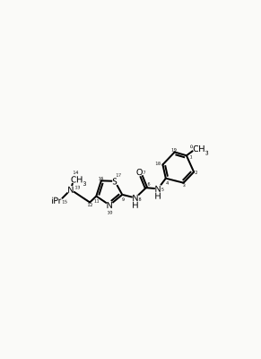 Cc1ccc(NC(=O)Nc2nc(CN(C)C(C)C)cs2)cc1